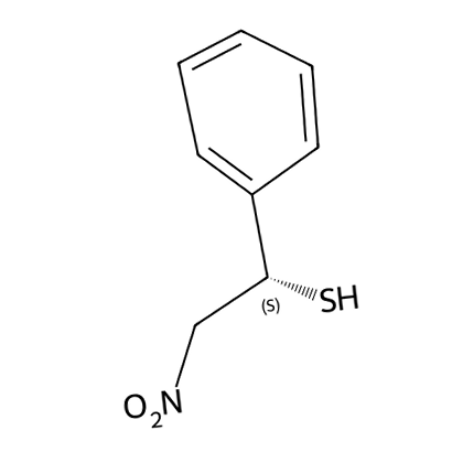 O=[N+]([O-])C[C@@H](S)c1ccccc1